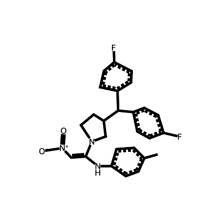 Cc1ccc(NC(=C[N+](=O)[O-])N2CCC(C(c3ccc(F)cc3)c3ccc(F)cc3)C2)cc1